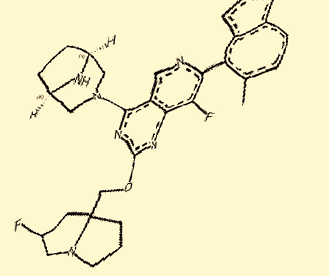 Cc1ccc2[nH]ncc2c1-c1ncc2c(N3C[C@H]4CC[C@@H](C3)N4)nc(OCC34CCCN3CC(F)C4)nc2c1F